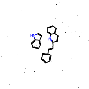 C(=Cc1ccc2ccccc2n1)c1ccccc1.c1ccc2[nH]ccc2c1